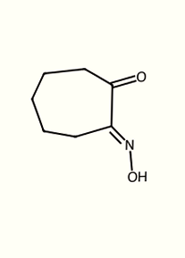 O=C1CCCCCC1=NO